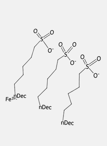 CCCCCCCCCCCCCCCS(=O)(=O)[O-].CCCCCCCCCCCCCCCS(=O)(=O)[O-].CCCCCCCCCCCCCCCS(=O)(=O)[O-].[Fe+3]